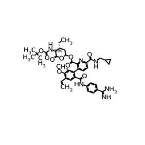 C=Cc1cc(C(=O)Nc2ccc(C(=N)N)cc2)c(-c2ccc(C(=O)NCC3CC3)nc2C(=O)OC2C[C@@H](CC)[C@H](NC(=O)OC(C)(C)C)C(=O)O2)cc1OC